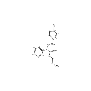 CCCOC(=O)C(OC(=O)c1ccc(Cl)cc1)c1ccccc1